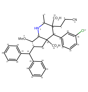 COCC1NC(C)C(CCC#N)(C(=O)O)C(c2cccc(Cl)c2)C1(CCC(c1ccccc1)c1ccccc1)C(=O)O